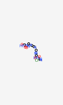 COc1cc2nn([C@H]3CC[C@H](CN4CCC5(CC4)CCN(c4cccc6c4n(C)c(=O)n6C4CCC(=O)NC4=O)CC5)CC3)cc2cc1NC(=O)c1nn(C)cc1Cl